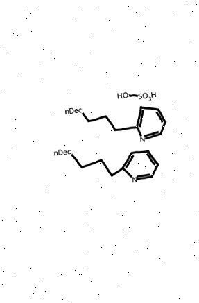 CCCCCCCCCCCCCc1ccccn1.CCCCCCCCCCCCCc1ccccn1.O=S(=O)(O)O